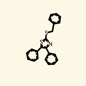 c1ccc(CSc2nc(-c3ccccc3)c(-c3ccccc3)s2)cc1